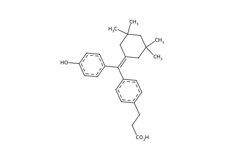 CC1(C)CC(=C(c2ccc(O)cc2)c2ccc(CCC(=O)O)cc2)CC(C)(C)C1